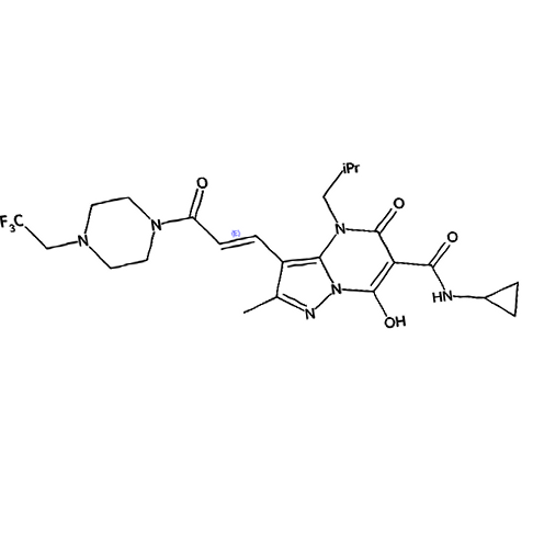 Cc1nn2c(O)c(C(=O)NC3CC3)c(=O)n(CC(C)C)c2c1/C=C/C(=O)N1CCN(CC(F)(F)F)CC1